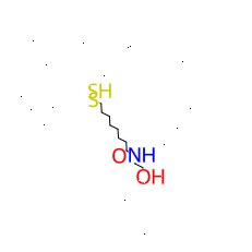 O=C(CCCCCCCSS)NCCO